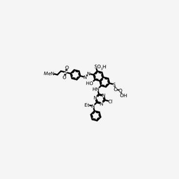 CCN(c1ccccc1)c1nc(Cl)nc(Nc2cc(SOOO)cc3cc(S(=O)(=O)O)c(N=Nc4ccc(S(=O)(=O)CCNC)cc4)c(O)c23)n1